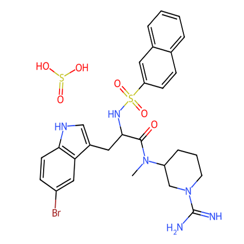 CN(C(=O)C(Cc1c[nH]c2ccc(Br)cc12)NS(=O)(=O)c1ccc2ccccc2c1)C1CCCN(C(=N)N)C1.O=S(O)O